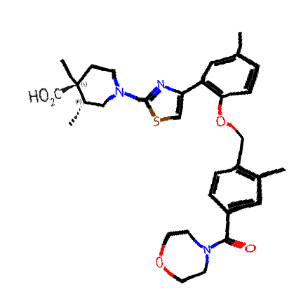 Cc1ccc(OCc2ccc(C(=O)N3CCOCC3)cc2C)c(-c2csc(N3CC[C@](C)(C(=O)O)[C@@H](C)C3)n2)c1